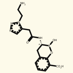 NCCn1nncc1CC(=O)N[C@H]1Cc2cccc(C(=O)O)c2OB1O